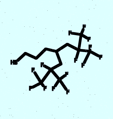 FC(F)(F)C(F)(CC(CCCS)CC(F)(C(F)(F)F)C(F)(F)F)C(F)(F)F